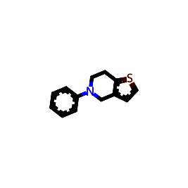 c1ccc(N2CCc3sccc3C2)cc1